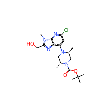 C[C@@H]1CN(c2cc(Cl)nc3c2nc(CO)n3C)[C@@H](C)CN1C(=O)OC(C)(C)C